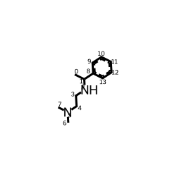 CC(NCCN(C)C)c1ccccc1